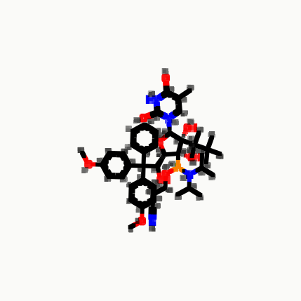 COc1ccc(C(c2ccccc2)(c2ccc(OC)cc2)C(O)[C@H]2O[C@@H](n3cc(C)c(=O)[nH]c3=O)[C@@](O)([Si](C)(C)C(C)(C)C)[C@@]2(O)P(OCCC#N)N(C(C)C)C(C)C)cc1